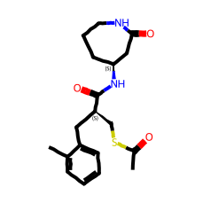 CC(=O)SC[C@@H](Cc1ccccc1C)C(=O)N[C@H]1CCCNC(=O)C1